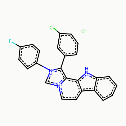 Fc1ccc(-n2c[n+]3ccc4c5ccccc5[nH]c4c3c2-c2cccc(Cl)c2)cc1.[Cl-]